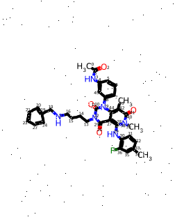 CC(=O)Nc1cccc(-n2c(=O)n(CCCCNCc3ccccc3)c(=O)c3c(Nc4ccc(C)cc4F)n(C)c(=O)c(C)c32)c1